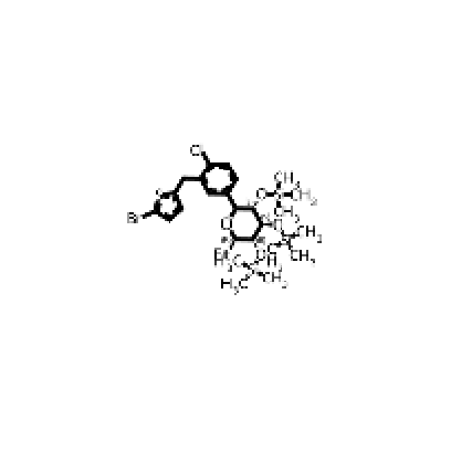 CC[C@H]1OC(c2ccc(Cl)c(Cc3ccc(Br)s3)c2)[C@H](O[Si](C)(C)C)[C@@H](O[Si](C)(C)C)[C@@H]1O[Si](C)(C)C